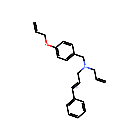 C=CCOc1ccc(CN(CC=C)C/C=C/c2ccccc2)cc1